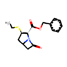 CCS[C@@H]1CC2CC(=O)N2[C@H]1C(=O)OCc1ccccc1